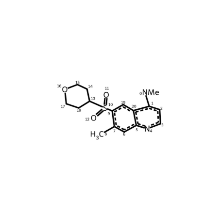 CNc1ccnc2cc(C)c(S(=O)(=O)C3CCOCC3)cc12